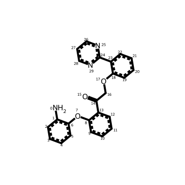 Nc1ccccc1Oc1ccccc1C(=O)COc1ccccc1-c1ncccn1